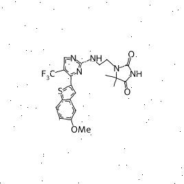 COc1ccc2sc(-c3nc(NCCN4C(=O)NC(=O)C4(C)C)ncc3C(F)(F)F)cc2c1